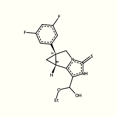 CCOC(O)c1[nH]c(=S)n2c1[C@@H]1C[C@]1(c1cc(F)cc(F)c1)C2